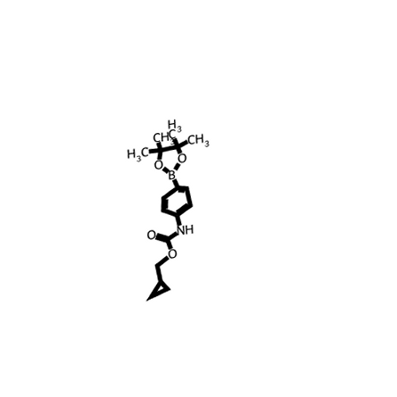 CC1(C)OB(c2ccc(NC(=O)OCC3CC3)cc2)OC1(C)C